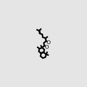 CC(C)=CCCC(C)C(=O)CC(=O)C1(C)CC2=C(CCCC2(C)C)CC1C